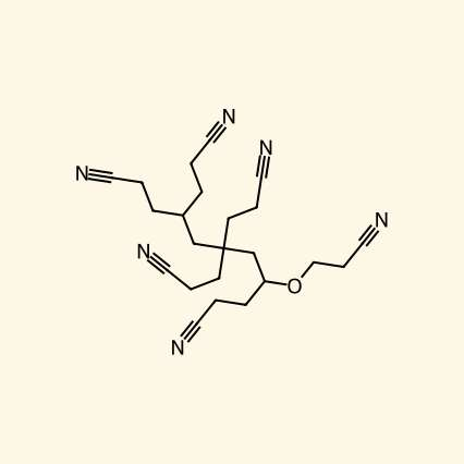 N#CCCOC(CCC#N)CC(CCC#N)(CCC#N)CC(CCC#N)CCC#N